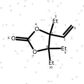 C=CC1(CC)OC(=O)OC1(CC)CC